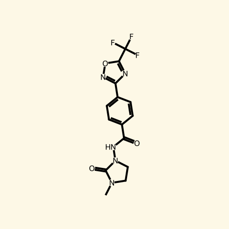 CN1CCN(NC(=O)c2ccc(-c3noc(C(F)(F)F)n3)cc2)C1=O